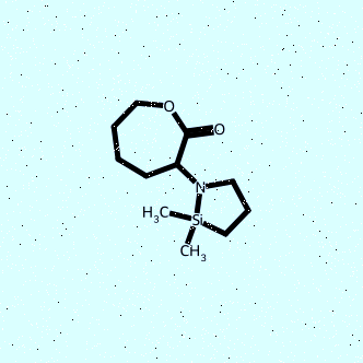 C[Si]1(C)CCCN1C1CCCCOC1=O